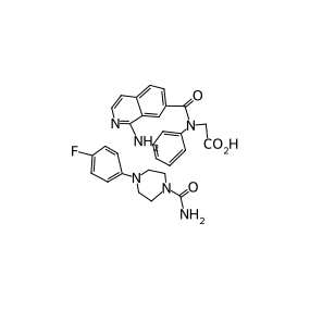 NC(=O)N1CCN(c2ccc(F)cc2)CC1.Nc1nccc2ccc(C(=O)N(CC(=O)O)c3ccccc3)cc12